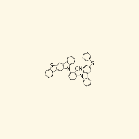 N#Cc1c(-n2c3ccccc3c3cc4sc5ccccc5c4cc32)cccc1-n1c2ccccc2c2cc3sc4ccccc4c3cc21